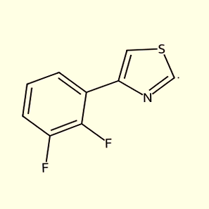 Fc1cccc(-c2cs[c]n2)c1F